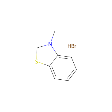 Br.CN1CSc2ccccc21